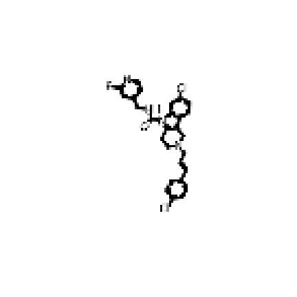 O=C(NCc1ccnc(F)c1)n1c2c(c3ccc(Cl)cc31)CN(CC=Cc1ccc(Cl)cc1)CC2